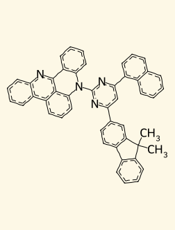 CC1(C)c2ccccc2-c2ccc(-c3cc(-c4cccc5ccccc45)nc(N4c5ccccc5-c5nc6ccccc6c6cccc4c56)n3)cc21